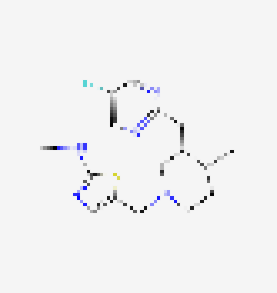 CNc1ncc(CN2CCC(C)C(Cc3ncc(F)cn3)C2)s1